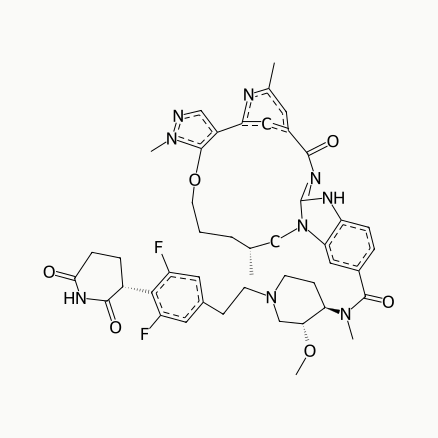 CO[C@@H]1CN(CCc2cc(F)c([C@H]3CCC(=O)NC3=O)c(F)c2)CC[C@H]1N(C)C(=O)c1ccc2c(c1)N1C[C@H](C)CCCOc3c(cnn3C)-c3cc(cc(C)n3)C(=O)/N=C/1N2